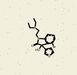 CCN(CC)CCN1C(=O)C(O)(c2ccoc2)c2c(Br)cccc21